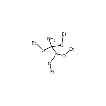 CCON(OCC)C(N)(OCC)OCC